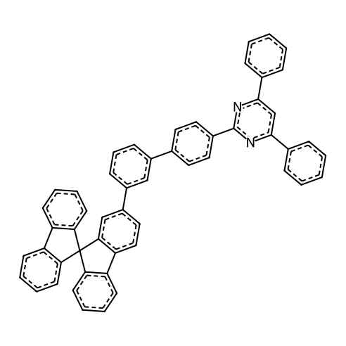 c1ccc(-c2cc(-c3ccccc3)nc(-c3ccc(-c4cccc(-c5ccc6c(c5)C5(c7ccccc7-c7ccccc75)c5ccccc5-6)c4)cc3)n2)cc1